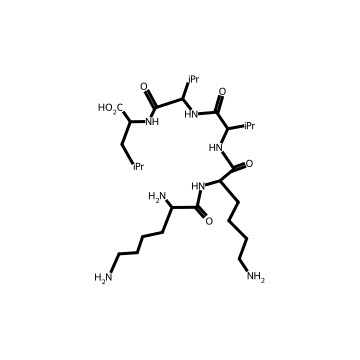 CC(C)CC(NC(=O)C(NC(=O)C(NC(=O)C(CCCCN)NC(=O)C(N)CCCCN)C(C)C)C(C)C)C(=O)O